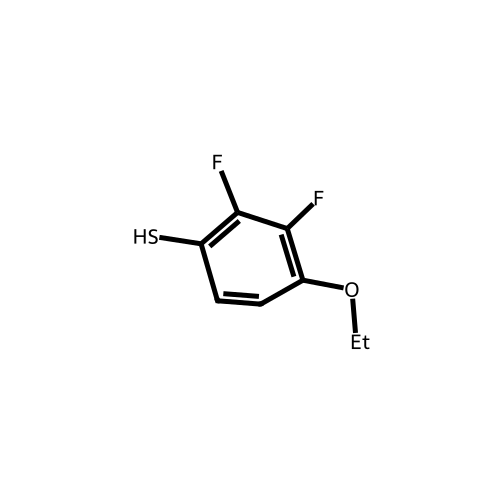 CCOc1ccc(S)c(F)c1F